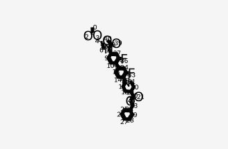 CC(=O)OC[C@H]1CN(c2ccc(-c3ccc(N4CCC(C(=O)OCc5ccccc5)CC4)c(F)c3)c(F)c2)C(=O)O1